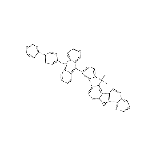 CC1(C)c2ccc(-c3c4ccccc4c(-c4ccc(-c5ccccc5)cc4)c4ccccc34)cc2-c2ccc3oc4c5ccccc5ccc4c3c21